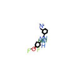 CN(C)Cc1cccc(-c2n[nH]c(-c3ccc(OCF)c(F)c3)n2)c1.Cl